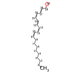 CCCCCCCCC\C=C/C=C\C=C\C=C/C=C/[C]=O